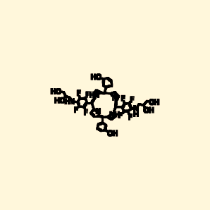 OCC(O)CNc1c(F)c(F)c(-c2c3nc(c(-c4cccc(O)c4)c4ccc([nH]4)c(-c4c(F)c(F)c(NCC(O)CO)c(F)c4F)c4nc(c(-c5cccc(O)c5)c5ccc2[nH]5)C=C4)C=C3)c(F)c1F